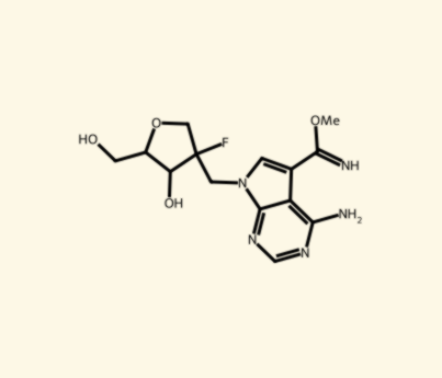 COC(=N)c1cn(CC2(F)COC(CO)C2O)c2ncnc(N)c12